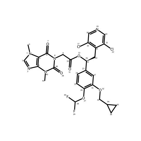 Cn1cnc2c1c(=O)n(CC(=O)O[C@@H](Cc1c(Cl)cncc1Cl)c1ccc(OC(F)F)c(OCC3CC3)c1)c(=O)n2C